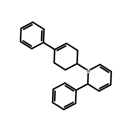 C1=CC(c2ccccc2)N(C2CC=C(c3ccccc3)CC2)C=C1